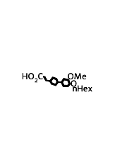 CCCCCCOc1ccc(-c2ccc(C=CC(=O)O)cc2)cc1OC